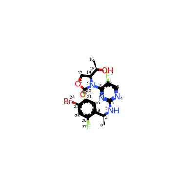 C[C@H](Nc1ncc(F)c(N2C(=O)OCC2[C@@H](C)O)n1)c1cc(F)c(Br)cc1F